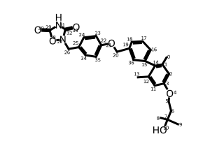 Cc1cc(OCCC(C)(C)O)cc(C)c1-c1cccc(COc2ccc(Cn3oc(=O)[nH]c3=O)cc2)c1